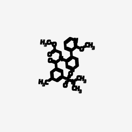 COC(=O)CN(C(=O)c1cc(C)cc(S(=O)(=O)N(C)C)c1)c1cnccc1-c1cccnc1OC